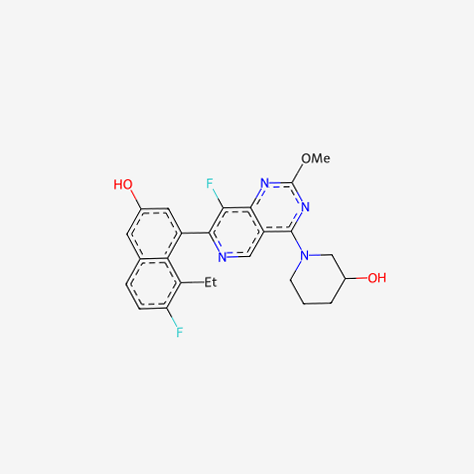 CCc1c(F)ccc2cc(O)cc(-c3ncc4c(N5CCCC(O)C5)nc(OC)nc4c3F)c12